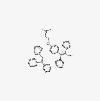 C(=C(c1ccccc1)c1ccccc1)c1ccccc1.CC/C(=C(\c1ccccc1)c1ccc(OCCN(C)C)cc1)c1ccccc1